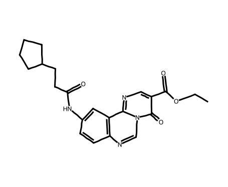 CCOC(=O)c1cnc2c3cc(NC(=O)CCC4CCCC4)ccc3ncn2c1=O